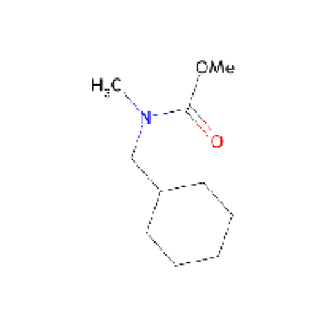 COC(=O)N(C)CC1CCCCC1